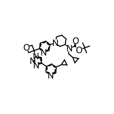 CC(C)(C)OC(=O)N(CC1CC1)[C@@H]1CCCN(c2ccc(C3(n4cc(-c5cncc(C6CC6)c5)nn4)COC3)nc2)C1